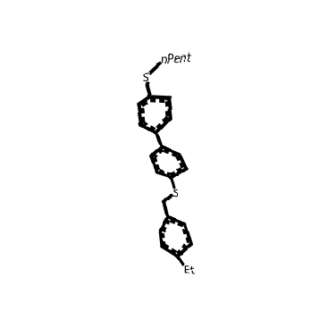 CCCCCSc1ccc(-c2ccc(SCc3ccc(CC)cc3)cc2)cc1